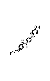 O=C(Nc1ccc(-c2nc3ccc(O)cc3s2)cc1)c1ccc(OCCCF)cc1